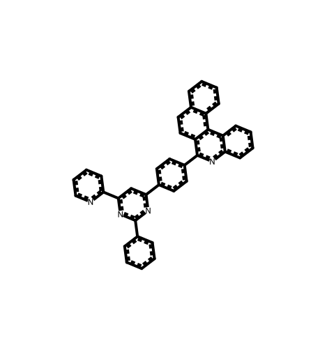 c1ccc(-c2nc(-c3ccc(-c4nc5ccccc5c5c4ccc4ccccc45)cc3)cc(-c3ccccn3)n2)cc1